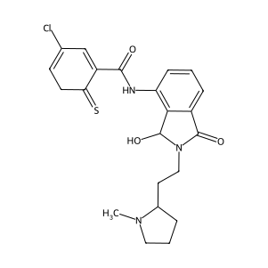 CN1CCCC1CCN1C(=O)c2cccc(NC(=O)C3=CC(Cl)=CCC3=S)c2C1O